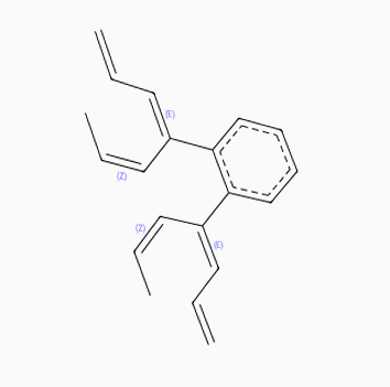 C=C/C=C(\C=C/C)c1ccccc1C(/C=C\C)=C/C=C